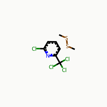 CSSC.Clc1cccc(C(Cl)(Cl)Cl)n1